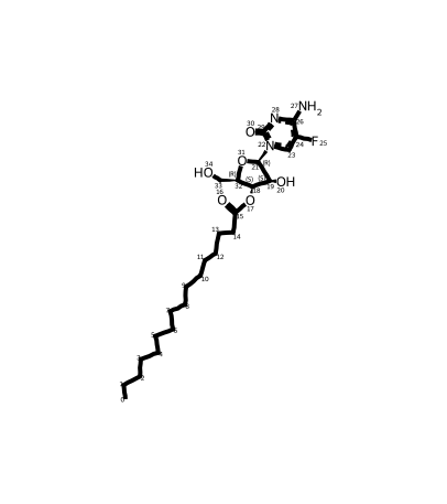 CCCCCCCCCCCCCCCC(=O)O[C@H]1[C@H](O)[C@H](n2cc(F)c(N)nc2=O)O[C@@H]1CO